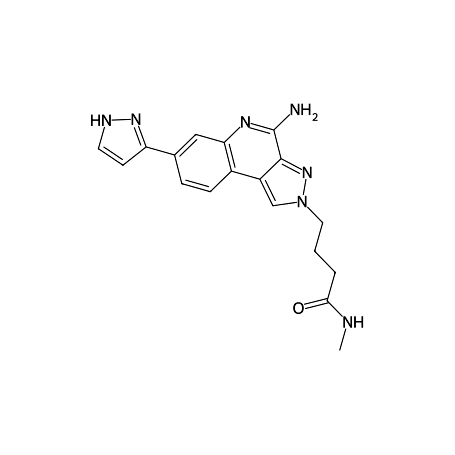 CNC(=O)CCCn1cc2c(n1)c(N)nc1cc(-c3cc[nH]n3)ccc12